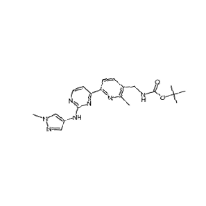 Cc1nc(-c2ccnc(Nc3cnn(C)c3)n2)ccc1CNC(=O)OC(C)(C)C